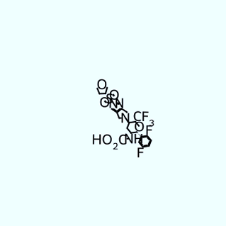 O=C(O)N[C@H]1C[C@@H](N2Cc3cn(S(=O)(=O)[C@@H]4CCOC4)nc3C2)[C@@H](C(F)(F)F)O[C@@H]1c1cc(F)ccc1F